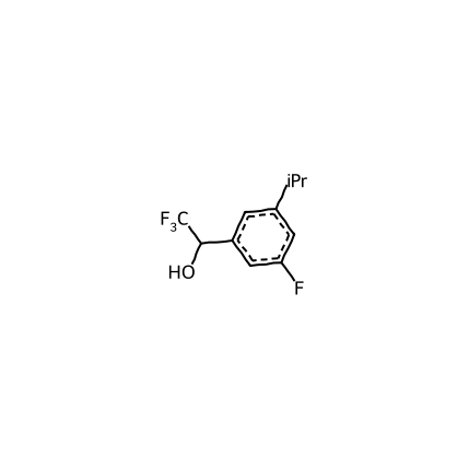 CC(C)c1cc(F)cc(C(O)C(F)(F)F)c1